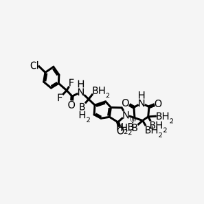 BC(B)(NC(=O)C(F)(F)c1ccc(Cl)cc1)c1ccc2c(c1)CN([C@@]1(B)C(=O)NC(=O)C(B)(B)C1(B)B)C2=O